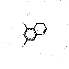 Clc1cc(Br)c2c(c1)N=CCC2